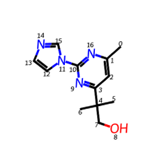 Cc1cc(C(C)(C)CO)nc(-n2ccnc2)n1